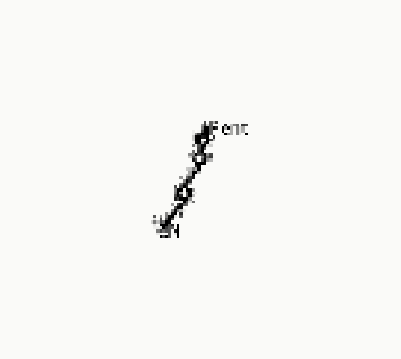 CCCCCc1ccc(C2CCC(CCCCC3CCC(CCC=CC=C(F)C#N)CC3)CC2)cc1